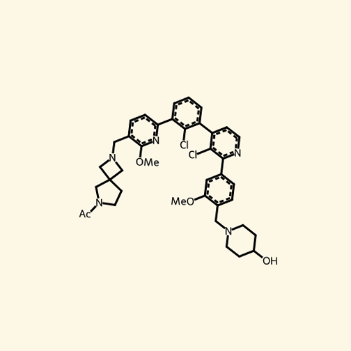 COc1cc(-c2nccc(-c3cccc(-c4ccc(CN5CC6(CCN(C(C)=O)C6)C5)c(OC)n4)c3Cl)c2Cl)ccc1CN1CCC(O)CC1